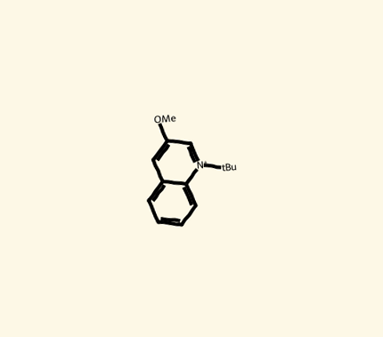 COc1cc2ccccc2[n+](C(C)(C)C)c1